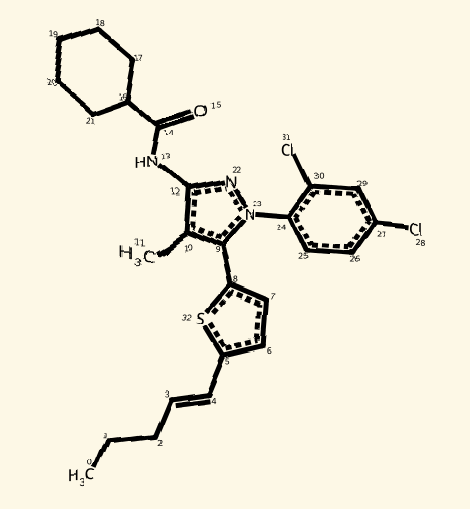 CCCC=Cc1ccc(-c2c(C)c(NC(=O)C3CCCCC3)nn2-c2ccc(Cl)cc2Cl)s1